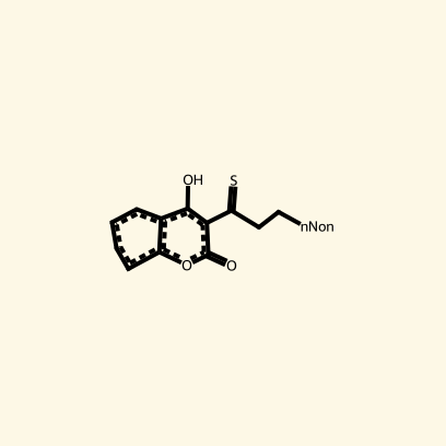 CCCCCCCCCCCC(=S)c1c(O)c2ccccc2oc1=O